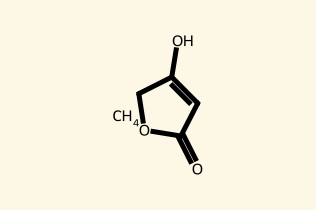 C.O=C1C=C(O)CO1